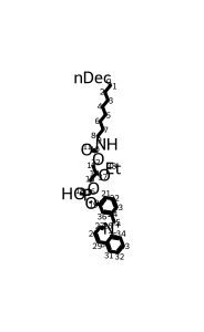 CCCCCCCCCCCCCCCCCCNC(=O)OCC(COP(O)Oc1cccc(C[n+]2cccc3ccccc32)c1)OCC